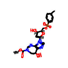 Cc1ccc(S(=O)(=O)OC[C@H]2O[C@@H](n3cnc4c3N=CN(C(=O)OC(C)(C)C)CC4O)C[C@H]2O)cc1